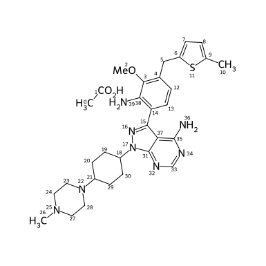 CC(=O)O.COc1c(Cc2ccc(C)s2)ccc(-c2nn(C3CCC(N4CCN(C)CC4)CC3)c3ncnc(N)c23)c1N